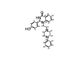 O=C1NC(c2ccc(O)cc2)N(CCN2CCN(c3ccccc3)CC2)c2ccccc21